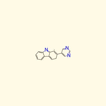 [C]1=C(c2cncnc2)CC=C2C1=Nc1ccccc12